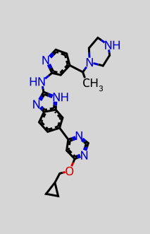 CC(c1ccnc(Nc2nc3ccc(-c4cc(OCC5CC5)ncn4)cc3[nH]2)c1)N1CCNCC1